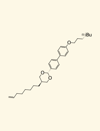 C=CCCCCCC[C@H]1CO[C@H](c2ccc(-c3ccc(OCCC[C@@H](C)CC)cc3)cc2)OC1